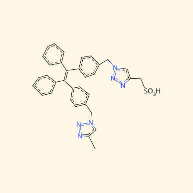 Cc1cn(Cc2ccc(C(=C(c3ccccc3)c3ccc(Cn4cc(CS(=O)(=O)O)nn4)cc3)c3ccccc3)cc2)nn1